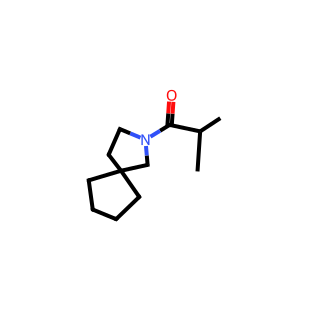 CC(C)C(=O)N1CCC2(CCCC2)C1